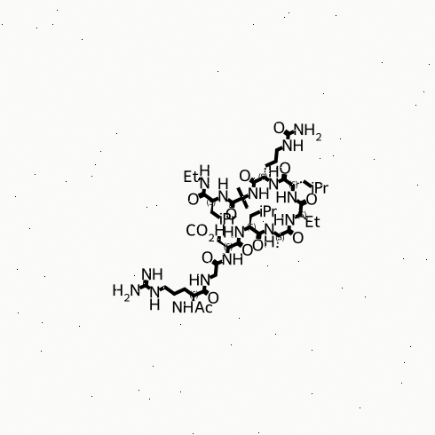 CCNC(=O)[C@H](CC(C)C)NC(=O)C(C)(C)NC(=O)[C@H](CCCNC(N)=O)NC(=O)[C@H](CC(C)C)NC(=O)[C@H](CC)NC(=O)[C@H](C)NC(=O)[C@H](CC(C)C)NC(=O)[C@H](CC(=O)O)NC(=O)CNC(=O)[C@H](CCCNC(=N)N)NC(C)=O